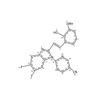 COc1cccc(C=Cc2nc3cc(F)c(F)cc3n2-c2ccc(C#N)cn2)c1O